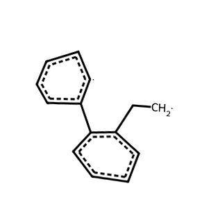 [CH2]Cc1ccccc1-c1[c]cccc1